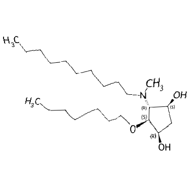 CCCCCCCCCCN(C)[C@H]1[C@H](OCCCCCCC)[C@H](O)C[C@@H]1O